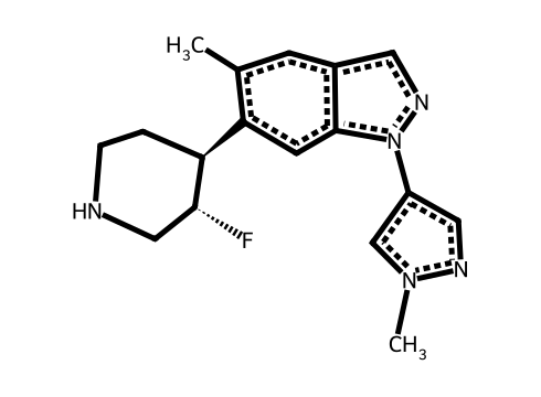 Cc1cc2cnn(-c3cnn(C)c3)c2cc1[C@@H]1CCNC[C@H]1F